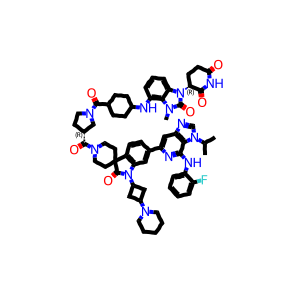 CC(C)n1cnc2cc(-c3ccc4c(c3)N(C3CC(N5CCCCC5)C3)C(=O)C43CCN(C(=O)[C@@H]4CCN(C(=O)C5CCC(Nc6cccc7c6n(C)c(=O)n7[C@@H]6CCC(=O)NC6=O)CC5)C4)CC3)nc(Nc3ccccc3F)c21